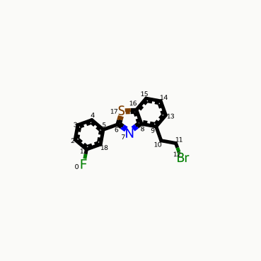 Fc1cccc(-c2nc3c(CCBr)cccc3s2)c1